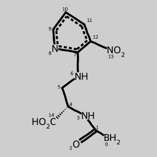 BC(=O)N[C@@H](CNc1ncccc1[N+](=O)[O-])C(=O)O